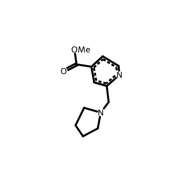 COC(=O)c1ccnc(CN2CCCC2)c1